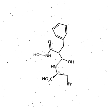 CC(C)C[C@H](NC(O)C(Cc1ccccc1)C(=O)NO)C(=O)O